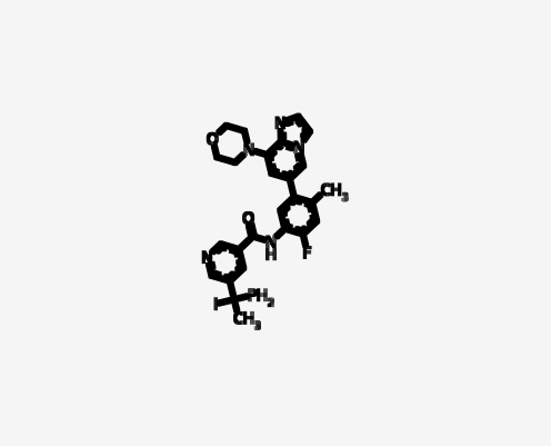 Cc1cc(F)c(NC(=O)c2cncc(C(C)(P)I)c2)cc1-c1cc(N2CCOCC2)c2nccn2c1